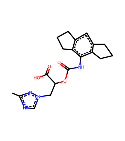 Cc1ncn(CC(OC(=O)Nc2c3c(cc4c2CCC4)CCC3)C(=O)O)n1